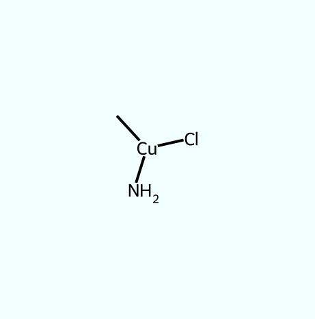 [CH3][Cu]([NH2])[Cl]